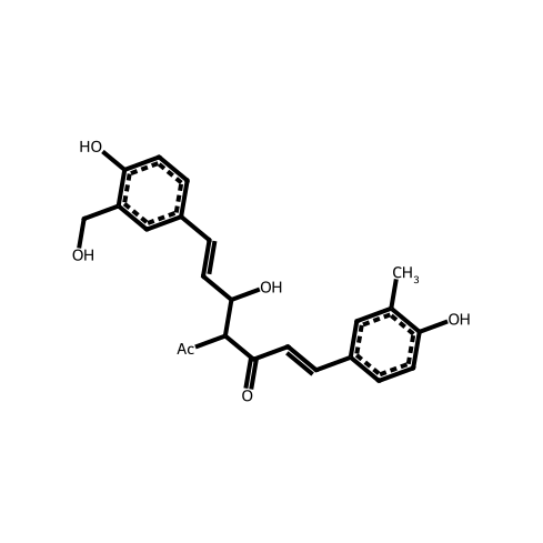 CC(=O)C(C(=O)/C=C/c1ccc(O)c(C)c1)C(O)/C=C/c1ccc(O)c(CO)c1